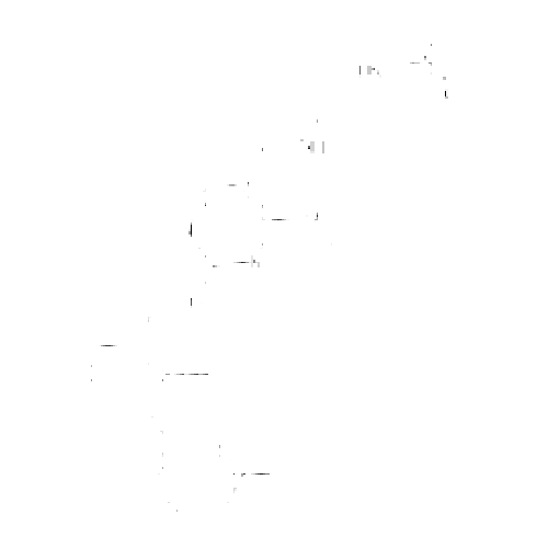 COc1nc(OCc2cccc(-c3cccc(F)c3)c2C)ncc1CNCCNC(C)=O